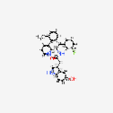 Cc1ccccc1-c1cccnc1C(Cc1cccc(F)c1)NC(=O)Cc1c[nH]c2ccc(O)cc12